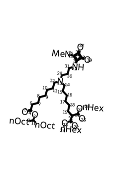 CCCCCCCCC(CCCCCCCC)OC(=O)CCCCCCCN(CCCCCCC(C(=O)OCCCCCC)C(=O)OCCCCCC)CCCNc1c(NC)c(=O)c1=O